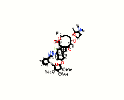 CC[C@H]1CCC[C@H](O[C@H]2CC[C@H](N(C)C)C(C)O2)[C@@H](C)C(=O)C2=C[C@H]3[C@@H]4C[C@H](O[C@@H]5OC(C)[C@H](OC)C(OC)C5OC)C[C@H]4C(n4cc(-c5ccccc5)nn4)C(F)[C@H]3[C@@H]2CC(=O)O1